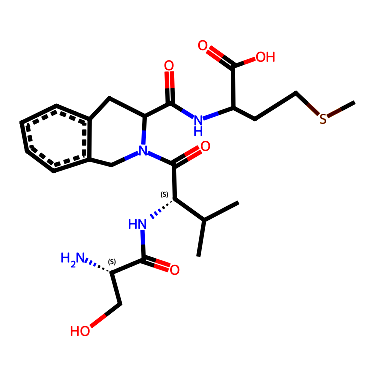 CSCCC(NC(=O)C1Cc2ccccc2CN1C(=O)[C@@H](NC(=O)[C@@H](N)CO)C(C)C)C(=O)O